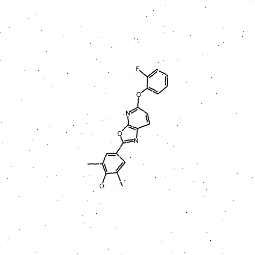 Cc1cc(-c2nc3ccc(Oc4ccccc4F)nc3o2)cc(C)c1[O]